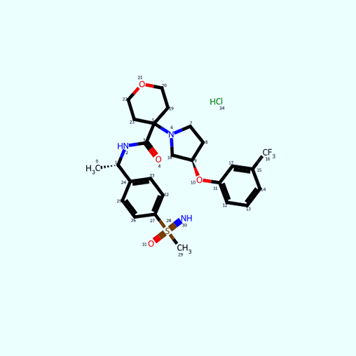 C[C@H](NC(=O)C1(N2CC[C@@H](Oc3cccc(C(F)(F)F)c3)C2)CCOCC1)c1ccc(S(C)(=N)=O)cc1.Cl